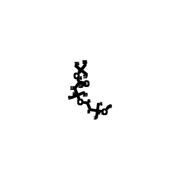 COC(C)(C)CCOC(C)(C)CC(=O)OC(C)(C)C